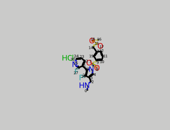 CNCc1cn(S(=O)(=O)c2cccc(CS(C)(=O)=O)c2)c(-c2cccnc2F)c1F.Cl